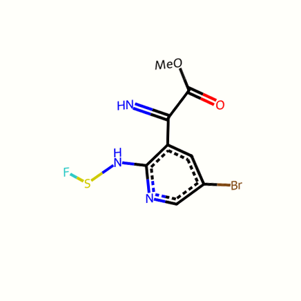 COC(=O)C(=N)c1cc(Br)cnc1NSF